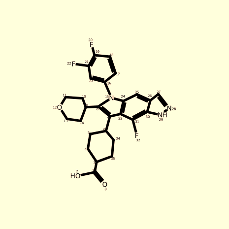 O=C(O)C1CCC(c2c(C3CCOCC3)n(-c3ccc(F)c(F)c3)c3cc4cn[nH]c4c(F)c23)CC1